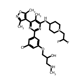 CNCC(O)COc1cc(Cl)cc(-c2nc(NC3CCN(CC(F)F)CC3)c(C)c(-c3c(C)noc3C)n2)c1